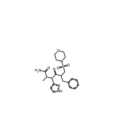 CC(C(N)=O)N(C(=O)C(Cc1ccccc1)CS(=O)(=O)N1CCOCC1)c1cc[nH]n1